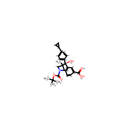 CC(C)(C)OC(=O)N1CC(C)([C@](O)(c2ccc(C3CC3)cc2)c2cccc(C(=O)O)c2)C1